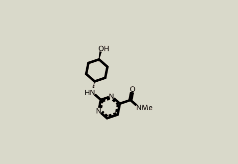 CNC(=O)c1ccnc(N[C@H]2CC[C@H](O)CC2)n1